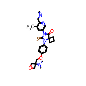 C=NCc1ncc(N2C(=O)C3(CCC3)N(c3ccc(OCC4(N(C)C)COC4)cc3)C2=S)cc1C(F)(F)F